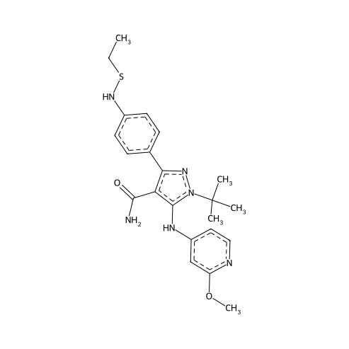 CCSNc1ccc(-c2nn(C(C)(C)C)c(Nc3ccnc(OC)c3)c2C(N)=O)cc1